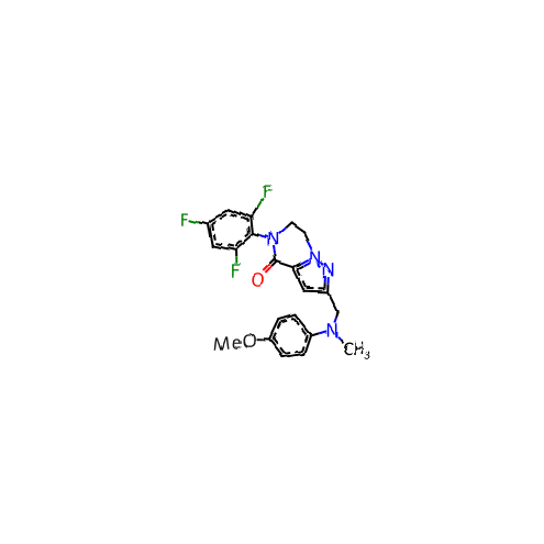 COc1ccc(N(C)Cc2cc3n(n2)CCN(c2c(F)cc(F)cc2F)C3=O)cc1